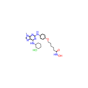 Cl.Cn1cnc2c(NC3CCCCC3)nc(Nc3ccc(OCCCCCC(=O)NO)cc3)nc21